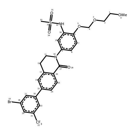 COCCOCOc1ccc(N2CCc3cc(-c4cc(Br)cc(C(F)(F)F)c4)ccc3C2=O)cc1NS(C)(=O)=O